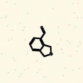 C=Cc1cccc2c1C[N]C2